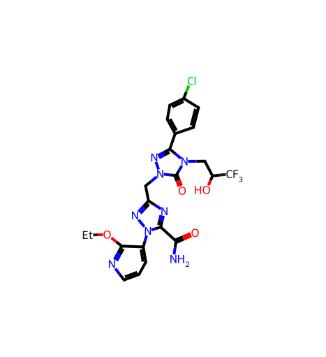 CCOc1ncccc1-n1nc(Cn2nc(-c3ccc(Cl)cc3)n(CC(O)C(F)(F)F)c2=O)nc1C(N)=O